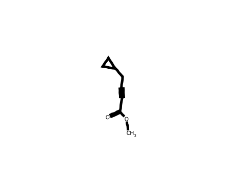 COC(=O)C#CCC1CC1